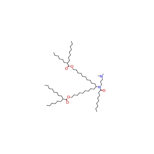 CCCCCCCCC(=O)N(CCCN(C)C)C(CCCCCCCCCCOC(=O)C(CCCCCC)CCCCCCCC)CCCCCCCCCOC(=O)C(CCCCCC)CCCCCCCC